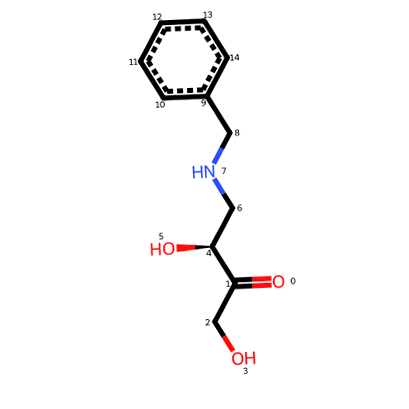 O=C(CO)[C@@H](O)CNCc1ccccc1